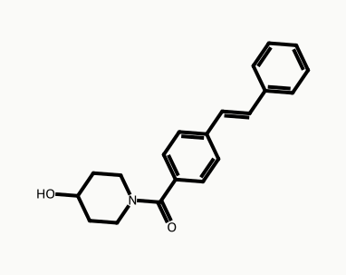 O=C(c1ccc(C=Cc2ccccc2)cc1)N1CCC(O)CC1